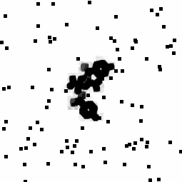 Cc1ccc(C(=O)OCC(CCC(C)C)(COC(=O)c2ccc(C)cc2)C(C)C)cc1